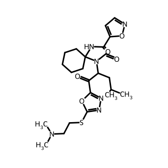 CC(C)CC(C(=O)c1nnc(SCCN(C)C)o1)N(C=O)C1(NC(=O)c2ccno2)CCCCC1